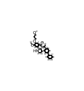 COCCCOc1cc(C(=O)N(C(C)C)C2CNCC[C@@H]2c2cccc(-c3ccccc3)c2)ccc1OC